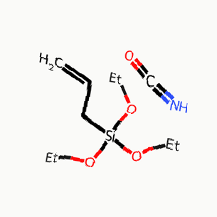 C=CC[Si](OCC)(OCC)OCC.N=C=O